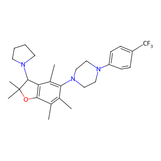 Cc1c(C)c(N2CCN(c3ccc(C(F)(F)F)cc3)CC2)c(C)c2c1OC(C)(C)C2N1CCCC1